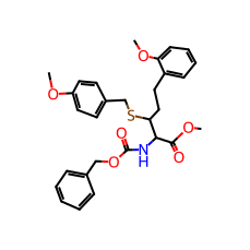 COC(=O)C(NC(=O)OCc1ccccc1)C(CCc1ccccc1OC)SCc1ccc(OC)cc1